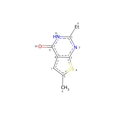 CCc1nc2sc(C)cc2c(=O)[nH]1